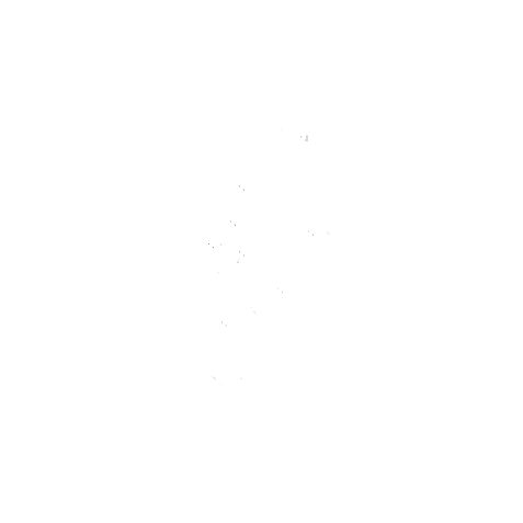 CC(=O)NCC1CCN(Cc2cc(Oc3cnc(N4CCN(CCCS(N)(=O)=O)CC4)nc3)nc(-c3cc(Cl)cc(Cl)c3)c2)CC1